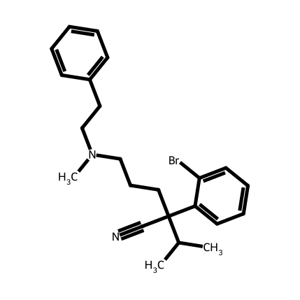 CC(C)C(C#N)(CCCN(C)CCc1ccccc1)c1ccccc1Br